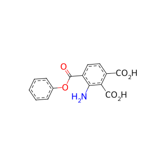 Nc1c(C(=O)Oc2ccccc2)ccc(C(=O)O)c1C(=O)O